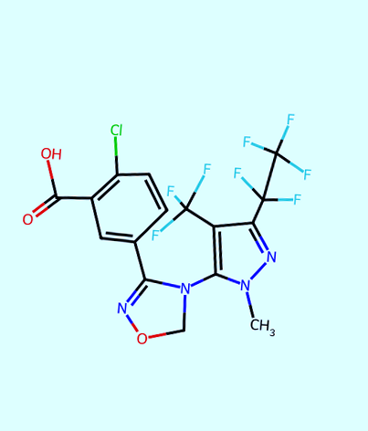 Cn1nc(C(F)(F)C(F)(F)F)c(C(F)(F)F)c1N1CON=C1c1ccc(Cl)c(C(=O)O)c1